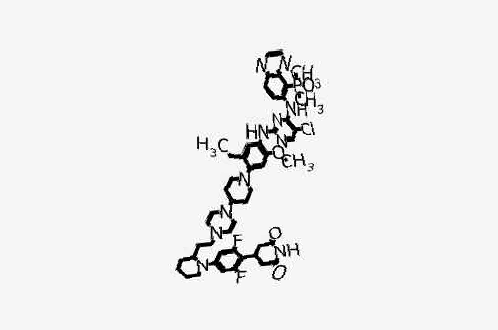 CCc1cc(Nc2ncc(Cl)c(Nc3ccc4nccnc4c3P(C)(C)=O)n2)c(OC)cc1N1CCC(N2CCN(CCC3CCCCN3c3cc(F)c(C4CC(=O)NC(=O)C4)c(F)c3)CC2)CC1